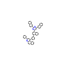 c1ccc(-c2cc(-c3cccc(-c4ccc(-c5cc(-c6ccc7ccccc7c6)nc(-c6ccc7ccccc7c6)n5)c5ccccc45)c3)c3c(ccc4ccccc43)n2)cc1